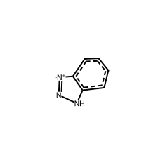 c1ccc2c(c1)[N+]=NN2